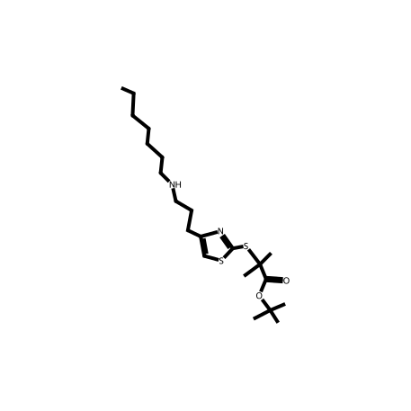 CCCCCCCNCCCc1csc(SC(C)(C)C(=O)OC(C)(C)C)n1